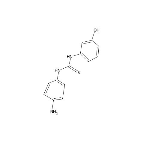 Nc1ccc(NC(=S)Nc2cccc(O)c2)cc1